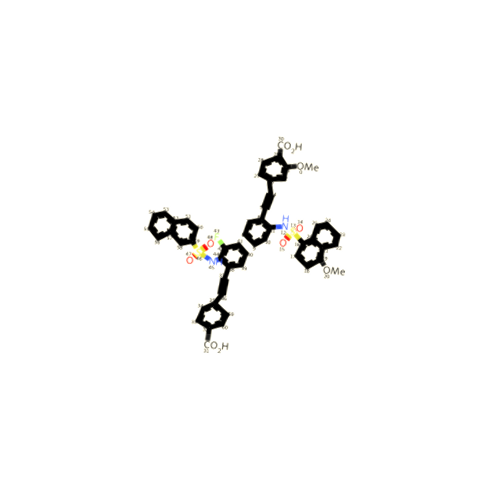 COc1cc(C#Cc2ccccc2NS(=O)(=O)c2ccc(OC)c3ccccc23)ccc1C(=O)O.O=C(O)c1ccc(C#Cc2cccc(F)c2NS(=O)(=O)c2ccc3ccccc3c2)cc1